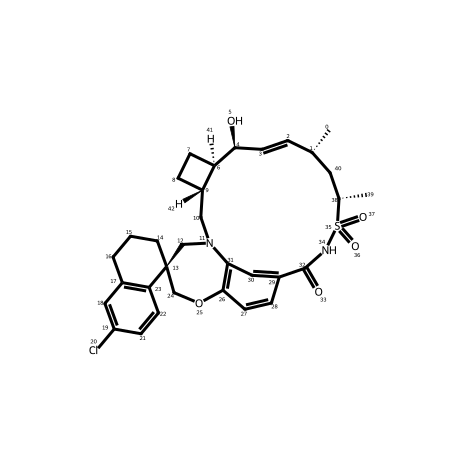 C[C@H]1/C=C/[C@H](O)[C@@H]2CC[C@H]2CN2C[C@@]3(CCCc4cc(Cl)ccc43)COc3ccc(cc32)C(=O)NS(=O)(=O)[C@@H](C)C1